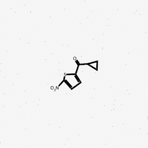 O=C(c1ccc([N+](=O)[O-])s1)C1CC1